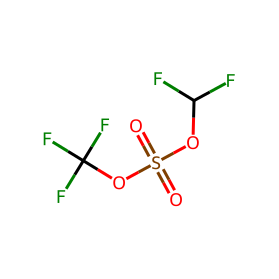 O=S(=O)(OC(F)F)OC(F)(F)F